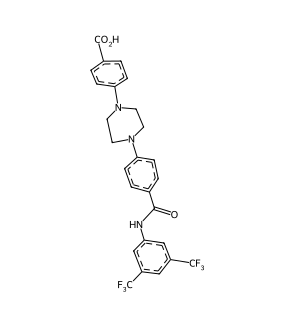 O=C(O)c1ccc(N2CCN(c3ccc(C(=O)Nc4cc(C(F)(F)F)cc(C(F)(F)F)c4)cc3)CC2)cc1